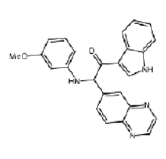 COc1cccc(NC(C(=O)c2c[nH]c3ccccc23)c2ccc3nccnc3c2)c1